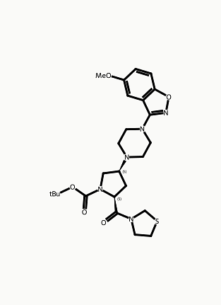 COc1ccc2onc(N3CCN([C@H]4C[C@@H](C(=O)N5CCSC5)N(C(=O)OC(C)(C)C)C4)CC3)c2c1